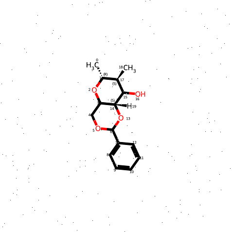 C[C@H]1OC2COC(c3ccccc3)O[C@H]2C(O)[C@@H]1C